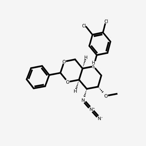 CO[C@H]1C[SH](c2ccc(Cl)c(Cl)c2)[C@@H]2COC(c3ccccc3)O[C@@H]2[C@H]1N=[N+]=[N-]